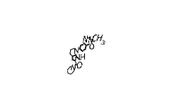 Cn1cnc2cc(N3CCCc4cc(C(=O)N5CCCCC5)[nH]c43)ccc2c1=O